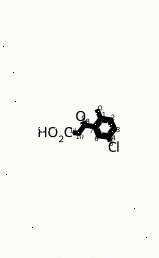 Cc1ccc(Cl)cc1C(=O)CC(=O)O